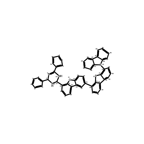 c1ccc(C2=NC(c3ccccc3)NC(c3cccc4c3oc3ccc(-c5cccc6c5sc5c(-n7c8ccccc8c8ccccc87)cccc56)cc34)N2)cc1